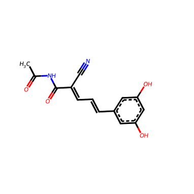 CC(=O)NC(=O)/C(C#N)=C/C=C/c1cc(O)cc(O)c1